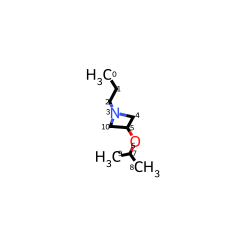 CCCN1CC(OC(C)C)C1